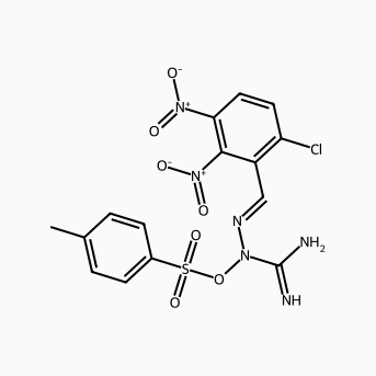 Cc1ccc(S(=O)(=O)ON(N=Cc2c(Cl)ccc([N+](=O)[O-])c2[N+](=O)[O-])C(=N)N)cc1